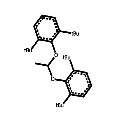 C[C](Oc1c(C(C)(C)C)cccc1C(C)(C)C)Oc1c(C(C)(C)C)cccc1C(C)(C)C